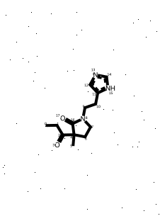 CCC(=O)C1(C)CCN(CCc2cnc[nH]2)C1=O